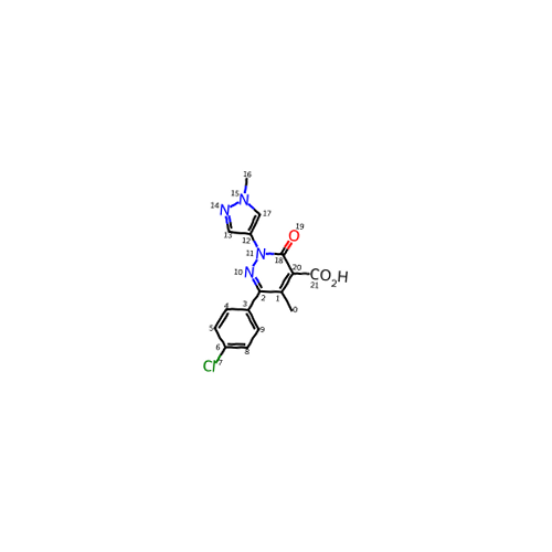 Cc1c(-c2ccc(Cl)cc2)nn(-c2cnn(C)c2)c(=O)c1C(=O)O